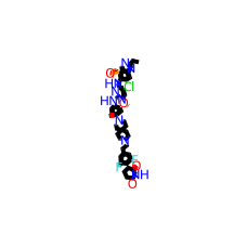 CCc1ncc2c(P(C)(C)=O)c(Nc3nc(Nc4cc(C)c(N5CCC6(CCN(CCc7cc(F)c([C@H]8CCC(=O)NC8=O)c(F)c7)CC6)CC5)cc4OC)ncc3Cl)ccc2n1